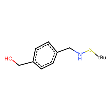 CC(C)(C)SNCc1ccc(CO)cc1